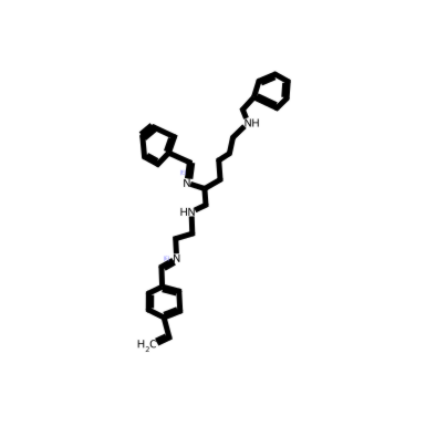 C=Cc1ccc(/C=N/CCNCC(CCCCNCc2ccccc2)/N=C/c2cc#ccc2)cc1